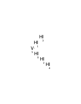 I.I.I.I.I.[V]